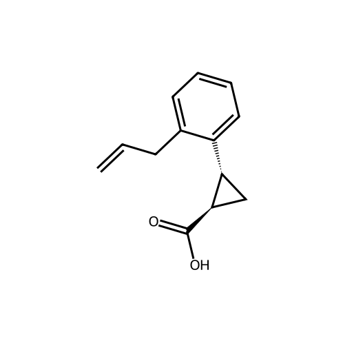 C=CCc1ccccc1[C@@H]1C[C@H]1C(=O)O